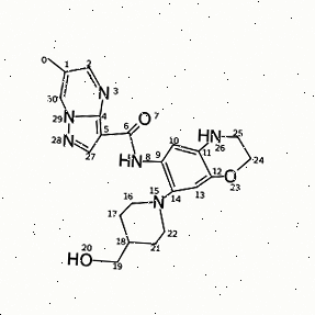 Cc1cnc2c(C(=O)Nc3cc4c(cc3N3CCC(CO)CC3)OCCN4)cnn2c1